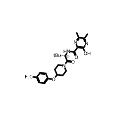 Cc1nc(O)c(C(=O)N[C@H](C(=O)N2CCC(Oc3ccc(C(F)(F)F)cc3)CC2)C(C)(C)C)nc1C